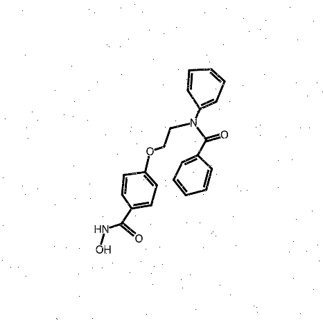 O=C(NO)c1ccc(OCCN(C(=O)c2ccccc2)c2ccccc2)cc1